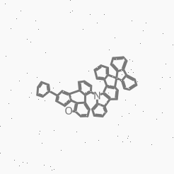 c1ccc(-c2cc3oc4cccc5c6c(-n7c8ccccc8c8ccc9c(c87)-c7ccccc7C97c8ccccc8-c8ccccc87)cccc6c(c2)c3c45)cc1